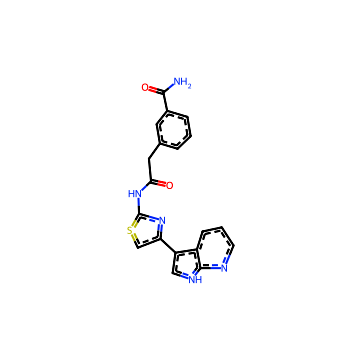 NC(=O)c1cccc(CC(=O)Nc2nc(-c3c[nH]c4ncccc34)cs2)c1